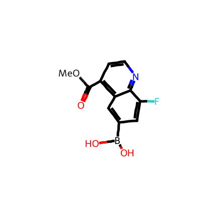 COC(=O)c1ccnc2c(F)cc(B(O)O)cc12